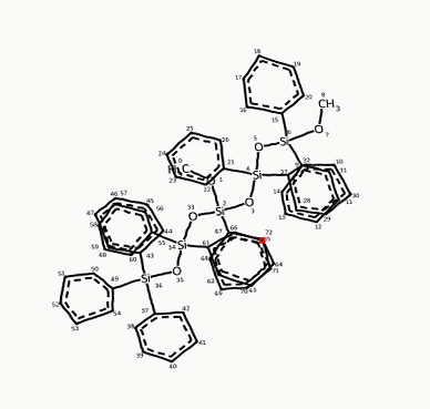 CO[Si](O[Si](O[Si](OC)(c1ccccc1)c1ccccc1)(c1ccccc1)c1ccccc1)(O[Si](O[Si](c1ccccc1)(c1ccccc1)c1ccccc1)(c1ccccc1)c1ccccc1)c1ccccc1